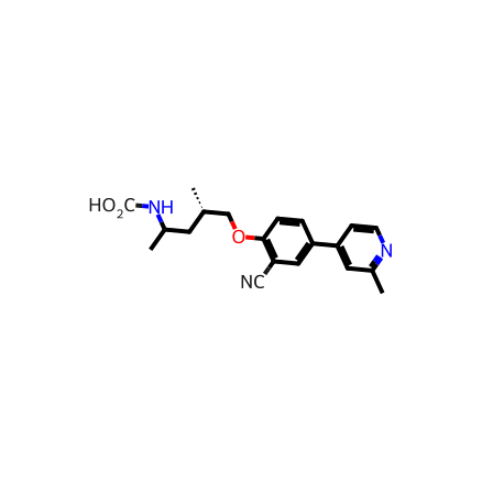 Cc1cc(-c2ccc(OC[C@@H](C)CC(C)NC(=O)O)c(C#N)c2)ccn1